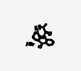 Br.C[C@H](N)C(=O)Nc1ccccc1C(=O)c1ccccc1